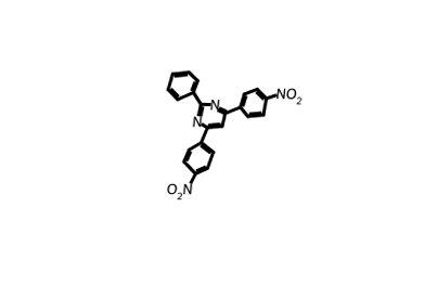 O=[N+]([O-])c1ccc(-c2cc(-c3ccc([N+](=O)[O-])cc3)nc(-c3ccccc3)n2)cc1